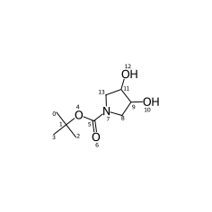 CC(C)(C)OC(=O)N1CC(O)C(O)C1